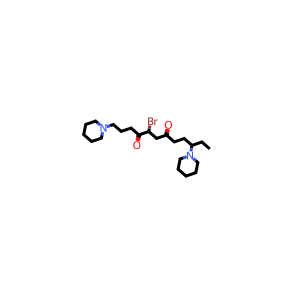 CCC(CCC(=O)CC(Br)C(=O)CCCN1CCCCC1)N1CCCCC1